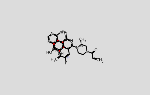 C=CC(=O)N1CCN(c2nc(=O)n(-c3c(CCC)ncnc3CCC)c(NO)c2/C=C(/F)C(=C)c2cc(F)cc(F)c2O)[C@@H](C)C1